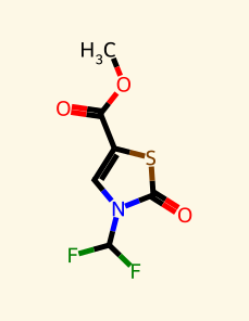 COC(=O)c1cn(C(F)F)c(=O)s1